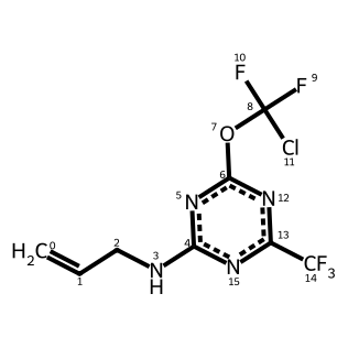 C=CCNc1nc(OC(F)(F)Cl)nc(C(F)(F)F)n1